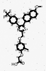 COc1ccc2cc(-c3sc(COc4ccc(OCC(=O)O)c(C)c4)nc3-c3ccc(C(F)(F)F)cc3)ccc2c1